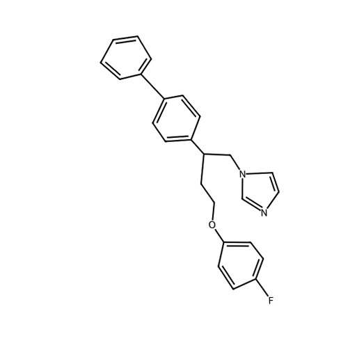 Fc1ccc(OCCC(Cn2ccnc2)c2ccc(-c3ccccc3)cc2)cc1